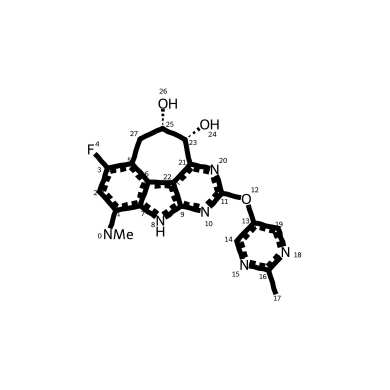 CNc1cc(F)c2c3c1[nH]c1nc(Oc4cnc(C)nc4)nc(c13)[C@@H](O)[C@@H](O)C2